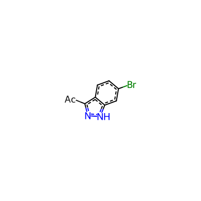 CC(=O)c1n[nH]c2cc(Br)ccc12